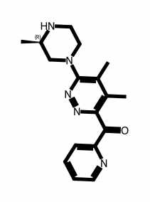 Cc1c(C(=O)c2ccccn2)nnc(N2CCN[C@H](C)C2)c1C